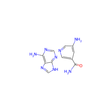 NC(=O)c1cncc(N)c1.Nc1ncnc2[nH]cnc12